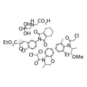 CC1COc2ccccc2N1C(=O)C(Cl)Cl.CCOC(=O)/C(Cl)=C/c1cc(N2C(=O)C3=C(CCCC3)C2=O)ccc1Cl.CCc1cccc(C)c1N(C(=O)CCl)C(C)COC.O=C(O)CNCP(=O)(O)O